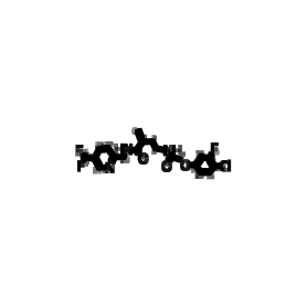 C=C(CCNC(=O)COc1ccc(Cl)c(F)c1)C(=O)NCc1ccc(C(F)F)cn1